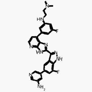 CN(C)CCNc1cc(F)cc(-c2ccnc3[nH]c(-c4n[nH]c5c(F)cc(-c6cncc(N)c6)cc45)nc23)c1